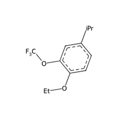 [CH2]C(C)c1ccc(OCC)c(OC(F)(F)F)c1